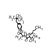 CCCC(=O)NC(C(=O)N[C@@H](C)C(=O)Nc1ccc(CC(C)(C)C)cc1)C(C)C